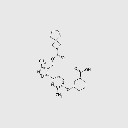 Cc1nc(-c2nnn(C)c2COC(=O)N2CC3(CCCC3)C2)ccc1O[C@H]1CCC[C@H](C(=O)O)C1